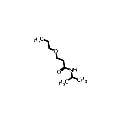 CCCOCCC(=O)NC(C)C